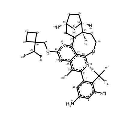 Nc1cc(Cl)c(C(F)(F)F)c(-c2nc3c4c(nc(OCC5(C(F)F)CCC5)nc4c2F)N2C[C@H]4CC[C@H](N4)[C@H]2CCO3)c1